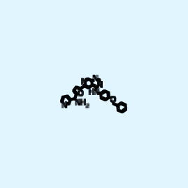 NC(c1cccnc1)c1ccc(-c2cc3c(Nc4ccc(OCc5ccccc5)cc4)ncnc3cn2)o1